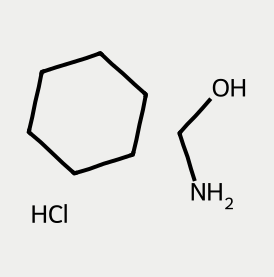 C1CCCCC1.Cl.NCO